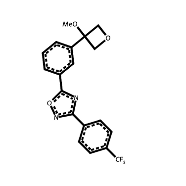 COC1(c2cccc(-c3nc(-c4ccc(C(F)(F)F)cc4)no3)c2)COC1